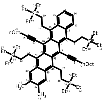 CCCCCCCCC#Cc1c2c(CC[Si](CC)(CC)CC)c3ccccc3c(CC[Si](CC)(CC)CC)c2c(C#CCCCCCCCC)c2c(CC[Si](CC)(CC)CC)c3cc(C)c(C)cc3c(CC[Si](CC)(CC)CC)c12